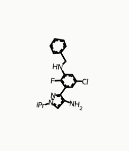 CC(C)n1cc(N)c(-c2cc(Cl)cc(NCc3ccccc3)c2F)n1